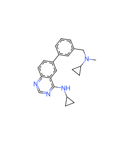 CN(Cc1cccc(-c2ccc3ncnc(NC4CC4)c3c2)c1)C1CC1